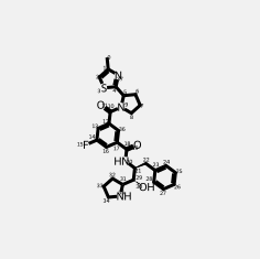 Cc1csc(C2CCCN2C(=O)c2cc(F)cc(C(=O)N[C@@H](Cc3ccccc3)[C@H](O)C3CCCN3)c2)n1